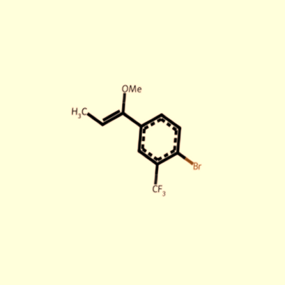 CC=C(OC)c1ccc(Br)c(C(F)(F)F)c1